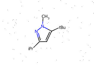 CC(C)c1cc(C(C)(C)C)n(C)n1